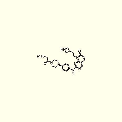 CSCC(=O)N1CCN(c2ccc(Nc3ncc4ccc(=O)n(CCC5CNC5)c4n3)cc2)CC1